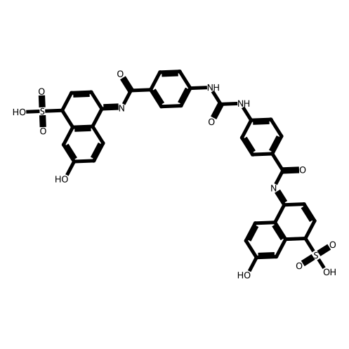 O=C(Nc1ccc(C(=O)N=C2C=CC(S(=O)(=O)O)c3cc(O)ccc32)cc1)Nc1ccc(C(=O)N=C2C=CC(S(=O)(=O)O)c3cc(O)ccc32)cc1